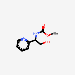 CC(C)(C)OC(=O)NC(CO)c1ccccn1